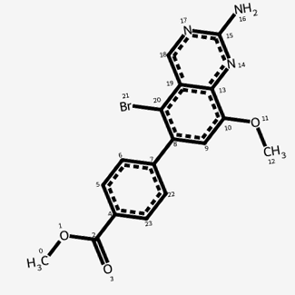 COC(=O)c1ccc(-c2cc(OC)c3nc(N)ncc3c2Br)cc1